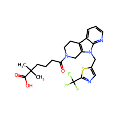 CC(C)(CCCC(=O)N1CCc2c(n(Cc3cnc(C(F)(F)F)s3)c3ncccc23)C1)C(=O)O